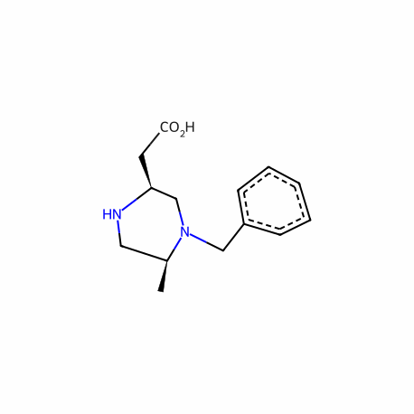 C[C@H]1CN[C@@H](CC(=O)O)CN1Cc1ccccc1